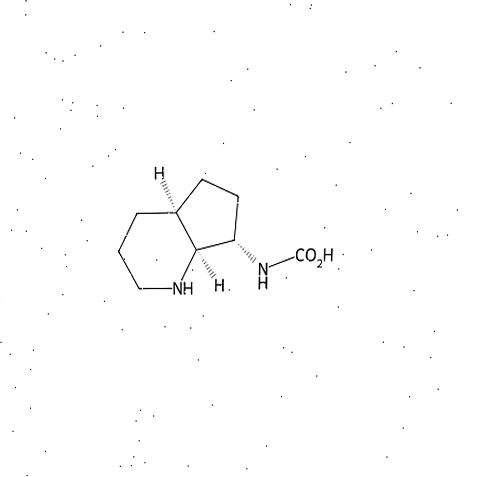 O=C(O)N[C@H]1CC[C@@H]2CCCN[C@@H]21